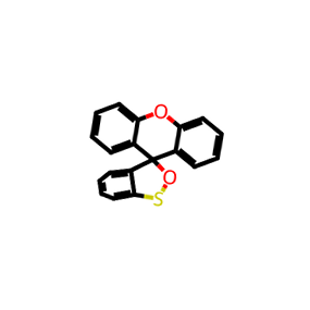 c1ccc2c(c1)Oc1ccccc1C21OSc2ccccc21